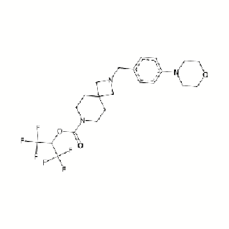 O=C(OC(C(F)(F)F)C(F)(F)F)N1CCC2(CC1)CN(Cc1ccc(N3CCOCC3)cc1)C2